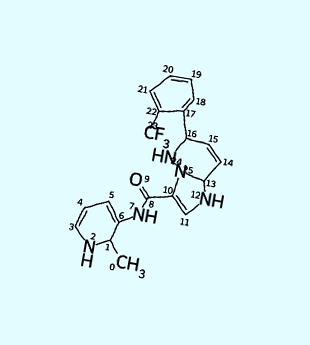 CC1NC=CC=C1NC(=O)C1=CNC2C=CC(c3ccccc3C(F)(F)F)NN12